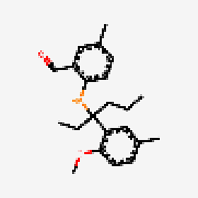 CCCC(CC)(Pc1ccc(C)cc1C=O)c1cc(C)ccc1OC